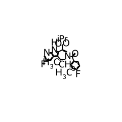 Cc1cc(C(=O)N2C=C(C(=O)OC(C)C)c3[nH]c4ncc(F)cc4c3C(C)(C)C2)ccc1F